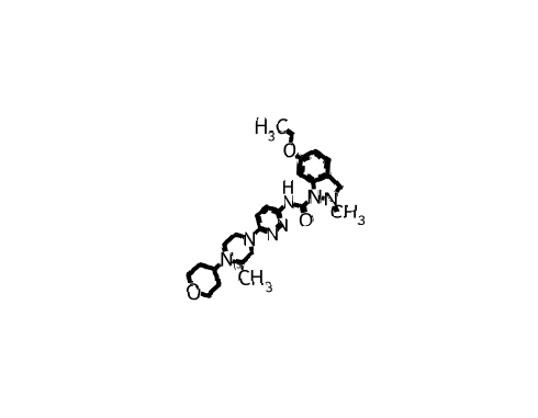 CCOc1ccc2c(c1)N(C(=O)Nc1ccc(N3CCN(C4CCOCC4)[C@@H](C)C3)nn1)N(C)C2